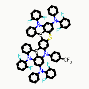 Fc1cccc(F)c1N(c1ccccc1)c1cc2c3c(c1)N(c1c(F)cccc1F)c1ccccc1B3c1cc3c(cc1S2)N(c1ccc(C(F)(F)F)cc1)c1cc(N(c2ccccc2)c2c(F)cccc2F)cc2c1B3c1ccccc1N2c1c(F)cccc1F